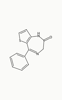 O=C1CN=C(c2ccccc2)c2sccc2N1